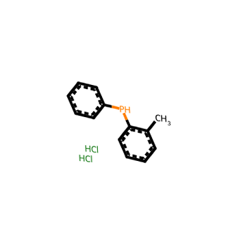 Cc1ccccc1Pc1ccccc1.Cl.Cl